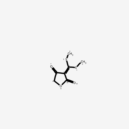 CSC(SC)=C1C(=O)COC1=O